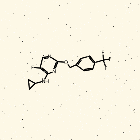 Fc1cnc(OCc2ccc(C(F)(F)F)cc2)nc1NC1CC1